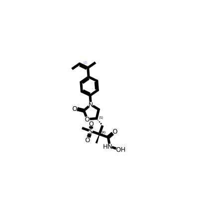 C/C=C(/C)c1ccc(N2C[C@H](C[C@](C)(C(=O)NO)S(C)(=O)=O)OC2=O)cc1